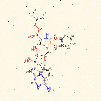 CCC(CC)COC(=O)[C@H](C)N[P@](=O)(OC[C@H]1O[C@@](C#N)(c2ccc3c(N)ncnn23)[C@H](O)[C@@H]1O)Oc1ccccn1